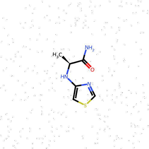 C[C@H](Nc1cscn1)C(N)=O